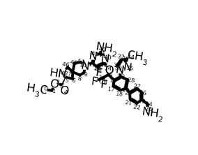 CCOC(=O)[C@@H]1CC2(CCN(c3cc(O[C@H](c4ccc(-c5ccc(CN)cc5)cc4-n4ccc(C)n4)C(F)(F)F)nc(N)n3)CC2)CN1